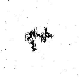 N#Cc1cc(F)cc([C@@H]2CC=NN2C(=O)NCCNc2ncc(F)c(C(=O)N3CC(OCC4CC4)C3)n2)c1